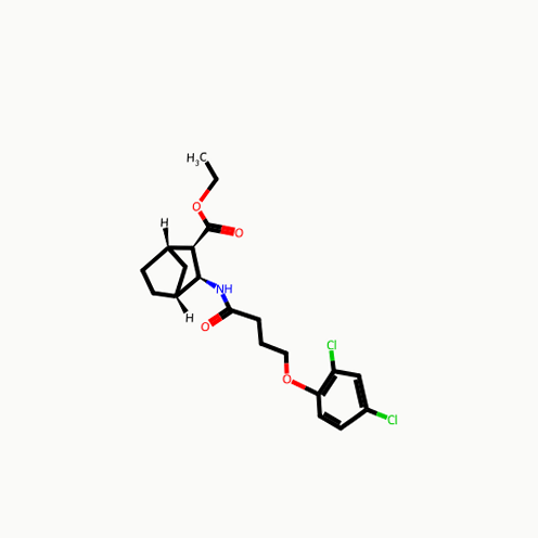 CCOC(=O)[C@@H]1[C@H]2CC[C@H](C2)[C@@H]1NC(=O)CCCOc1ccc(Cl)cc1Cl